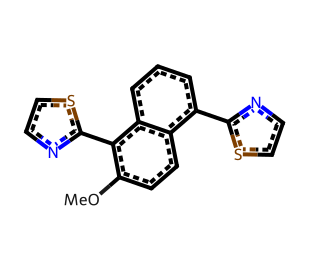 COc1ccc2c(-c3nccs3)cccc2c1-c1nccs1